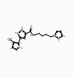 O=C(NCCCCn1cccn1)c1cc(-c2sccc2Cl)on1